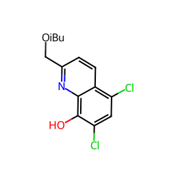 CC(C)COCc1ccc2c(Cl)cc(Cl)c(O)c2n1